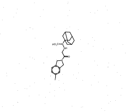 O=C(CNN(C(=O)O)C12CC3CC(CC(C3)C1)C2)N1Cc2ccc(F)cc2C1